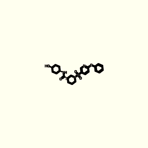 O=C(N[C@H]1CC[C@H](O)CC1)[C@H]1CCCN(S(=O)(=O)c2ccc(Oc3ccccc3)nc2)C1